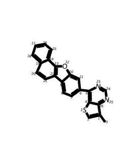 Cc1csc2c(-c3ccc4c(c3)oc3c5ccccc5ccc43)ncnc12